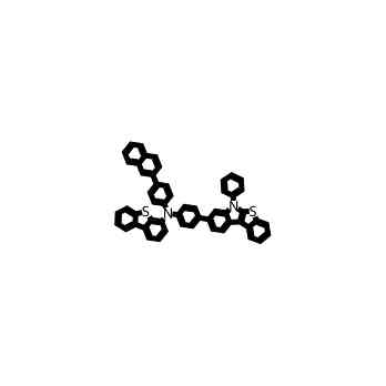 c1ccc(-n2c3cc(-c4ccc(N(c5ccc(-c6ccc7ccccc7c6)cc5)c5cccc6c5sc5ccccc56)cc4)ccc3c3c4ccccc4sc32)cc1